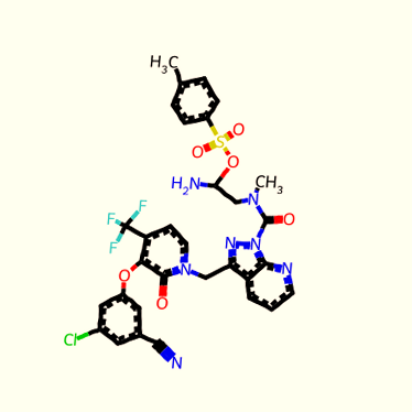 Cc1ccc(S(=O)(=O)OC(N)CN(C)C(=O)n2nc(Cn3ccc(C(F)(F)F)c(Oc4cc(Cl)cc(C#N)c4)c3=O)c3cccnc32)cc1